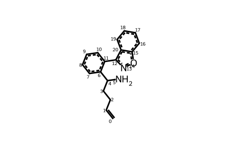 C=CCCC(N)c1ccccc1-c1noc2ccccc12